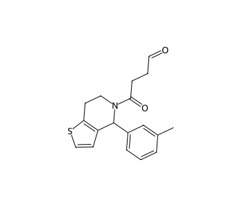 Cc1cccc(C2c3ccsc3CCN2C(=O)CCC=O)c1